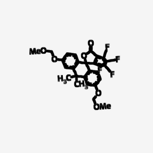 COCOc1ccc2c(c1)C(C)(C)c1cc(OCOC)ccc1C21OC(=O)c2c(F)c(F)c(F)c(F)c21